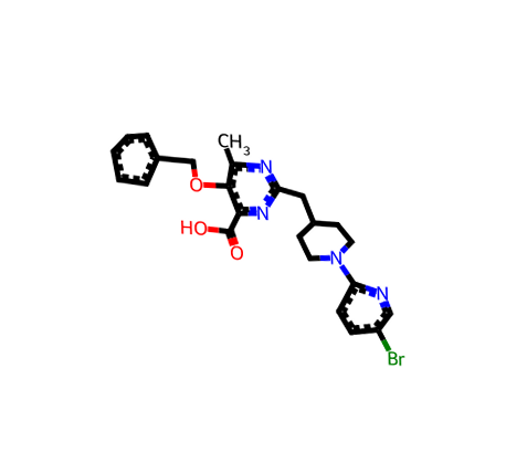 Cc1nc(CC2CCN(c3ccc(Br)cn3)CC2)nc(C(=O)O)c1OCc1ccccc1